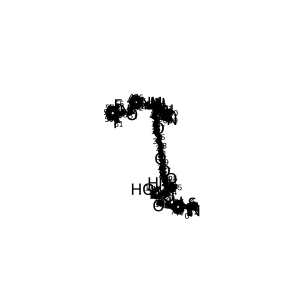 Cc1ncsc1-c1ccc(CNC(=O)[C@@H]2C[C@@H](O)CN2C(=O)C(NC(=O)COCCOCCCCCCOCCCn2c(CNc3cccc(C(=O)NCc4c(F)cccc4F)c3)nnc2-c2ccncn2)C(C)(C)C)cc1